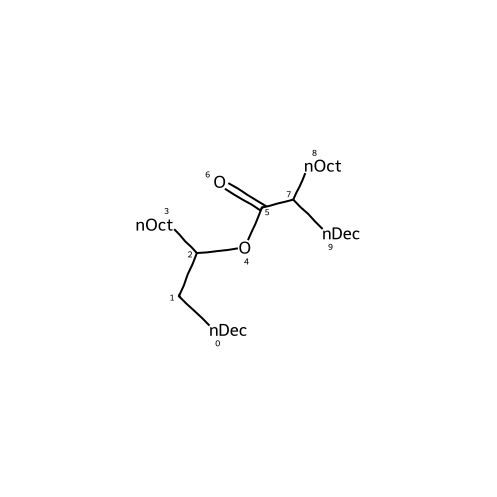 CCCCCCCCCCCC(CCCCCCCC)OC(=O)C(CCCCCCCC)CCCCCCCCCC